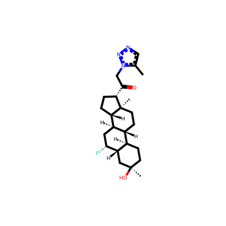 Cc1cnnn1CC(=O)[C@H]1CC[C@H]2[C@@H]3C[C@@H](F)[C@H]4C[C@](C)(O)CC[C@@H]4[C@H]3CC[C@]12C